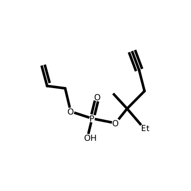 C#CCC(C)(CC)OP(=O)(O)OCC=C